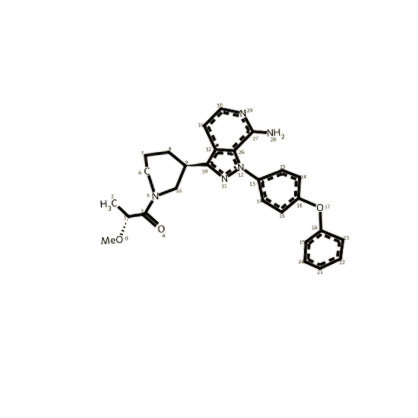 CO[C@H](C)C(=O)N1CCC[C@@H](c2nn(-c3ccc(Oc4ccccc4)cc3)c3c(N)nccc23)C1